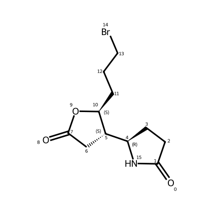 O=C1CC[C@H]([C@@H]2CC(=O)O[C@H]2CCCBr)N1